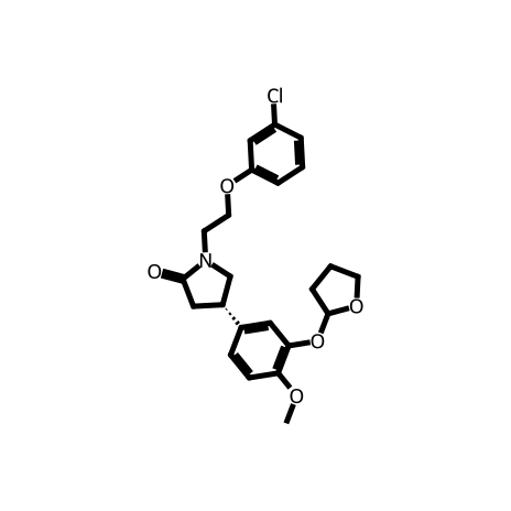 COc1ccc([C@@H]2CC(=O)N(CCOc3cccc(Cl)c3)C2)cc1OC1CCCO1